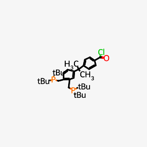 CC(C)(c1ccc(C(=O)Cl)cc1)c1ccc(CP(C(C)(C)C)C(C)(C)C)c(CP(C(C)(C)C)C(C)(C)C)c1